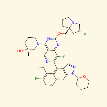 CCc1c(F)ccc2cc3c(cnn3C3CCCCO3)c(-c3ncc4c(N5CCC[C@@](C)(O)C5)nc(OC[C@@]56CCCN5C[C@H](F)C6)nc4c3F)c12